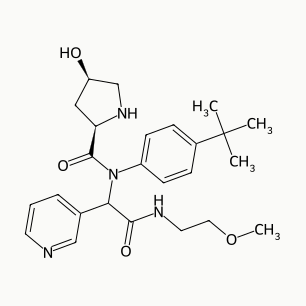 COCCNC(=O)C(c1cccnc1)N(C(=O)[C@H]1C[C@@H](O)CN1)c1ccc(C(C)(C)C)cc1